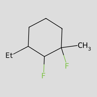 CCC1CCCC(C)(F)C1F